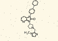 Cn1ccnc1CN1CCC(n2c(=O)n(-c3ccc(-c4ccccc4)cc3)c3cccnc32)C1